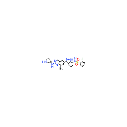 CCc1cc(-c2n[nH]c3c(NS(=O)(=O)c4ccccc4Cl)cccc23)cc2cnc(N[C@H]3CCCNC3)nc12